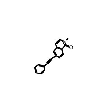 Cn1ccc2cc(C#Cc3ccccc3)ccc2c1=O